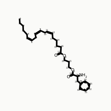 CCCCC/C=C\C/C=C\C/C=C\CCCCC(=O)OCCCOC(=O)C(N)Cc1ccccc1